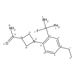 BC(F)(P)c1cc(CC)ccc1N1CC(C(N)=O)C1